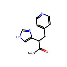 COC(=O)C(Cc1ccncc1)c1c[nH]cn1